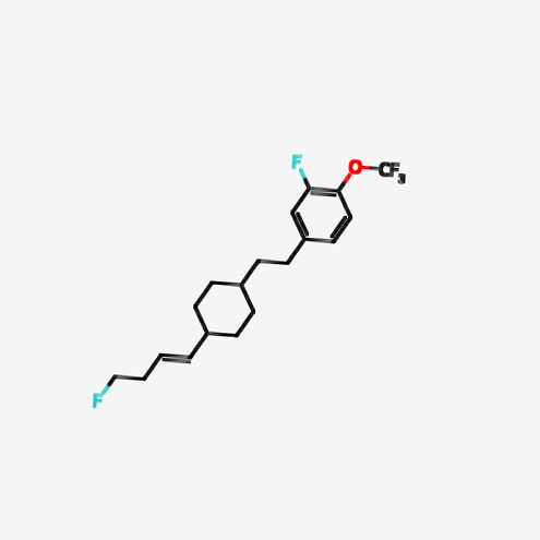 FCCC=CC1CCC(CCc2ccc(OC(F)(F)F)c(F)c2)CC1